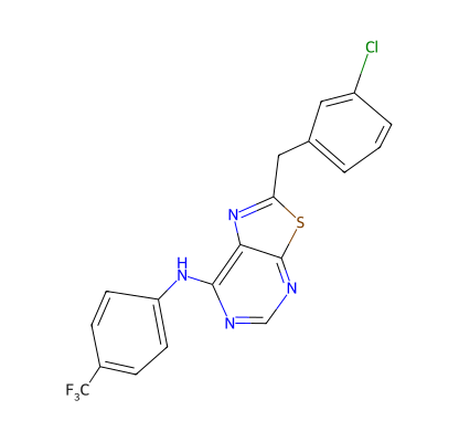 FC(F)(F)c1ccc(Nc2ncnc3sc(Cc4cccc(Cl)c4)nc23)cc1